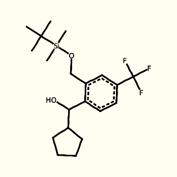 CC(C)(C)[Si](C)(C)OCc1cc(C(F)(F)F)ccc1C(O)C1CCCC1